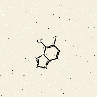 Clc1ccc2nccn2c1Cl